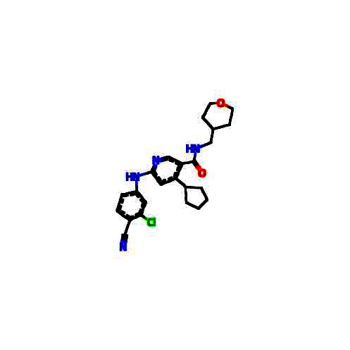 N#Cc1ccc(Nc2cc(C3CCCC3)c(C(=O)NCC3CCOCC3)cn2)cc1Cl